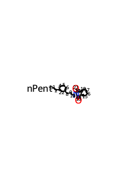 CCCCCC=Cc1cccc(CCCN2C(=O)c3ccccc3C2=O)c1